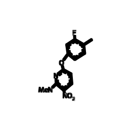 CNc1nc(Oc2ccc(C)c(F)c2)ccc1[N+](=O)[O-]